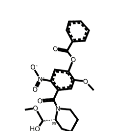 COc1cc(C(=O)N2CCCC[C@@H]2C(O)OC)c([N+](=O)[O-])cc1OC(=O)c1ccccc1